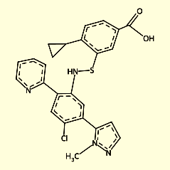 Cn1nccc1-c1cc(NSc2cc(C(=O)O)ccc2C2CC2)c(-c2ccccn2)cc1Cl